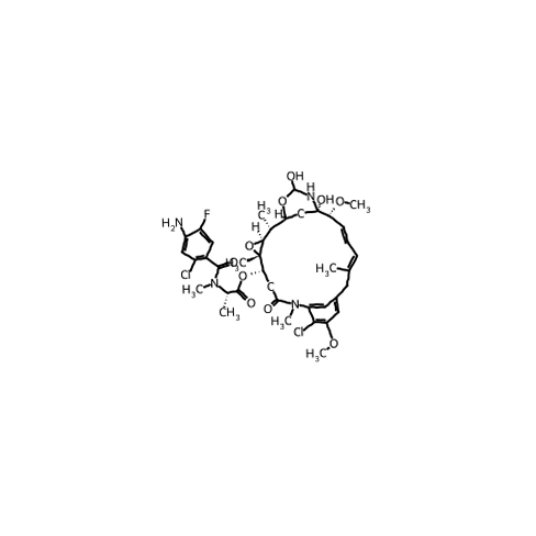 COc1cc2cc(c1Cl)N(C)C(=O)C[C@H](OC(=O)[C@H](C)N(C)C(=O)c1cc(F)c(N)cc1Cl)[C@]1(C)O[C@H]1[C@H](C)[C@@H]1C[C@@](O)(NC(O)O1)[C@H](OC)/C=C/C=C(\C)C2